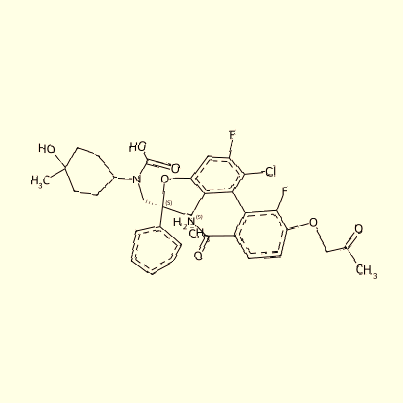 CC(=O)COc1ccc(C(N)=O)c(-c2c(Cl)c(F)cc3c2[C@H](C)[C@@](CN(C(=O)O)C2CCC(C)(O)CC2)(c2ccccc2)O3)c1F